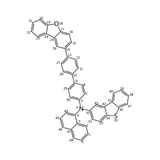 c1ccc2c(N(c3ccc(-c4ccc(-c5ccc6oc7ccccc7c6c5)cc4)cc3)c3ccc4sc5ccccc5c4c3)cccc2c1